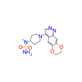 CN(C1CCN(c2cnnc3cc4c(cc23)OCCO4)CC1)S(N)(=O)=O